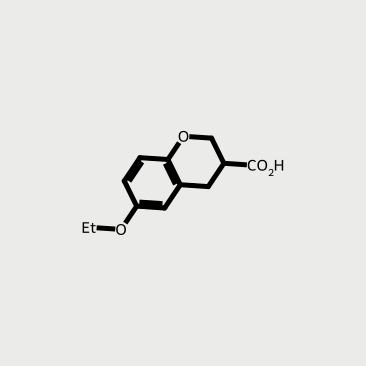 CCOc1ccc2c(c1)CC(C(=O)O)CO2